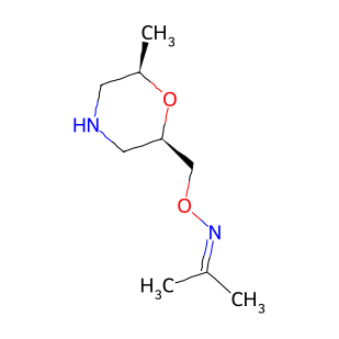 CC(C)=NOC[C@H]1CNC[C@@H](C)O1